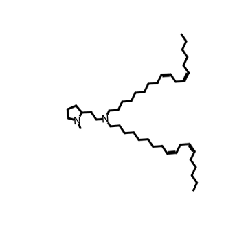 CCCCC/C=C\C/C=C\CCCCCCCCN(CCCCCCCC/C=C\C/C=C\CCCCC)CCC1CCCN1C